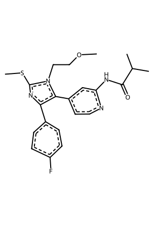 COCCn1c(SC)nc(-c2ccc(F)cc2)c1-c1ccnc(NC(=O)C(C)C)c1